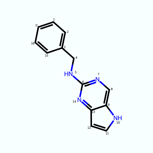 c1ccc(CNc2ncc3[nH]ccc3n2)cc1